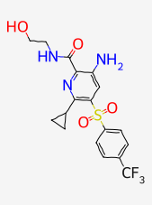 Nc1cc(S(=O)(=O)c2ccc(C(F)(F)F)cc2)c(C2CC2)nc1C(=O)NCCO